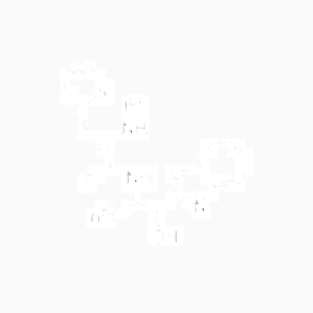 CCCC(NC(=O)[C@H](Cc1cccs1)NC(C)C)C(O)c1nc2ccccc2o1